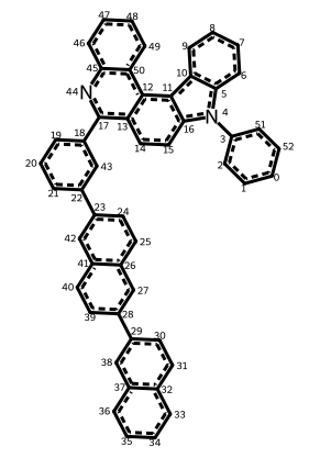 c1ccc(-n2c3ccccc3c3c4c(ccc32)c(-c2cccc(-c3ccc5cc(-c6ccc7ccccc7c6)ccc5c3)c2)nc2ccccc24)cc1